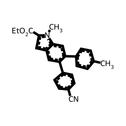 CCOC(=O)c1cc2cc(-c3ccc(C#N)cc3)c(-c3ccc(C)cc3)cc2n1C